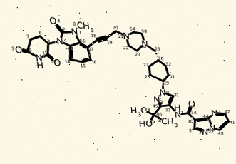 Cn1c(=O)n(C2CCC(=O)NC2=O)c2cccc(C#CCN3CCN(C[C@H]4CC[C@H](n5cc(NC(=O)c6cnn7cccnc67)c(C(C)(C)O)n5)CC4)CC3)c21